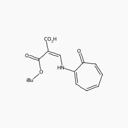 CCC(C)OC(=O)C(=CNc1cccccc1=O)C(=O)O